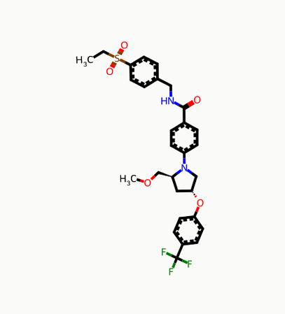 CCS(=O)(=O)c1ccc(CNC(=O)c2ccc(N3C[C@H](Oc4ccc(C(F)(F)F)cc4)C[C@H]3COC)cc2)cc1